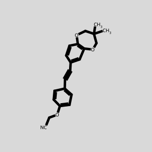 CC1(C)COc2ccc(C#Cc3ccc(OCC#N)cc3)cc2OC1